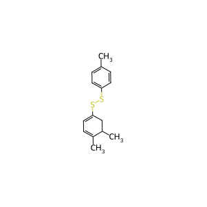 CC1=CC=C(SSc2ccc(C)cc2)CC1C